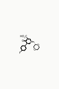 O=C(O)c1cn(C[C@H]2COCCO2)cc(-c2ccc(F)cc2)c1=O